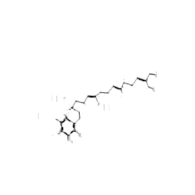 C/C(=C\CC/C(C)=C/CC[C@]1(C)CCc2c(C)c(C)c(C)c(C)c2O1)CCC=C(CF)CF